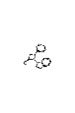 O=C1CC(c2ccccc2)N1C1C=Cc2ccccc21